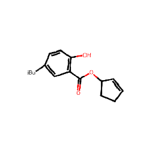 CCC(C)c1ccc(O)c(C(=O)OC2C=CCC2)c1